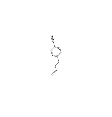 N#Cc1ccc(CCC=O)cc1